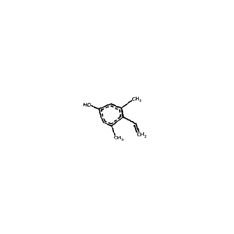 C=Cc1c(C)cc(O)cc1C